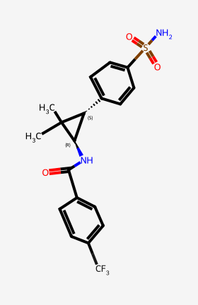 CC1(C)[C@H](NC(=O)c2ccc(C(F)(F)F)cc2)[C@H]1c1ccc(S(N)(=O)=O)cc1